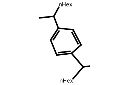 CCCCCCC(C)c1ccc(C(C)CCCCCC)cc1